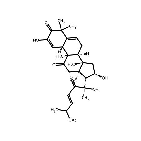 CC(=O)OC(C)/C=C/C(=O)[C@](C)(O)[C@H]1[C@H](O)C[C@@]2(C)[C@@H]3CC=C4[C@@H](C=C(O)C(=O)C4(C)C)[C@]3(C)C(=O)C[C@]12C